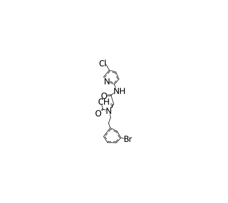 CC(=O)N(CCc1cccc(Br)c1)CC(=O)Nc1ccc(Cl)cn1